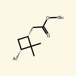 CC(=O)[C@@H]1C[C@H](CC(=O)OC(C)(C)C)C1(C)C